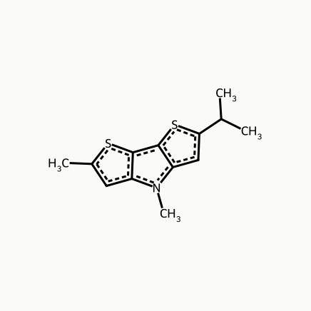 Cc1cc2c(s1)c1sc(C(C)C)cc1n2C